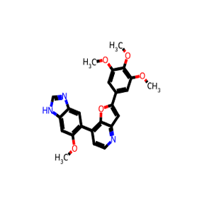 COc1cc2[nH]cnc2cc1-c1ccnc2cc(-c3cc(OC)c(OC)c(OC)c3)oc12